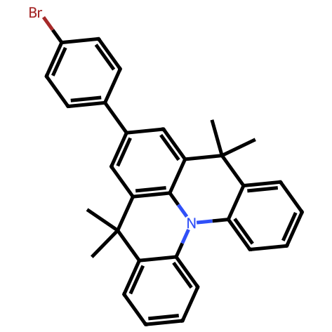 CC1(C)c2ccccc2N2c3ccccc3C(C)(C)c3cc(-c4ccc(Br)cc4)cc1c32